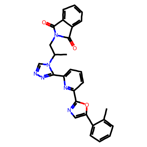 Cc1ccccc1-c1cnc(-c2cccc(-c3nncn3C(C)CN3C(=O)c4ccccc4C3=O)n2)o1